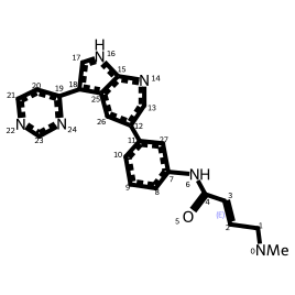 CNC/C=C/C(=O)Nc1cccc(-c2cnc3[nH]cc(-c4ccncn4)c3c2)c1